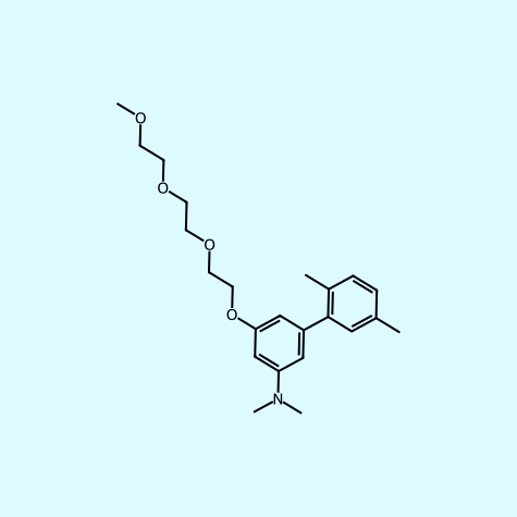 COCCOCCOCCOc1cc(-c2cc(C)ccc2C)cc(N(C)C)c1